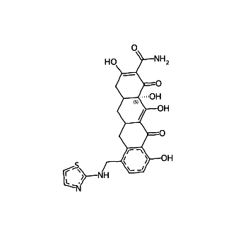 NC(=O)C1=C(O)CC2CC3Cc4c(CNc5nccs5)ccc(O)c4C(=O)C3=C(O)[C@]2(O)C1=O